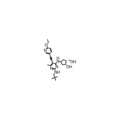 CCOc1ccc(C#Cc2c(C)nc(NCC(C)(C)C)nc2NC2C[C@H](CO)[C@@H](O)C2)cn1